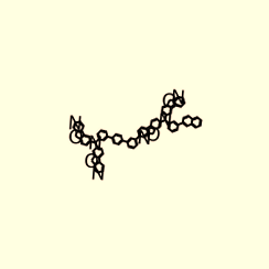 c1cc(-c2ccc(-c3cccc(N(c4ccc5c(c4)oc4cnccc45)c4ccc5oc6cnccc6c5c4)c3)cc2)cc(-c2ccc3c(n2)oc2cc(N(c4cccc(-c5ccc6ccccc6c5)c4)c4ccc5oc6ncccc6c5c4)ccc23)c1